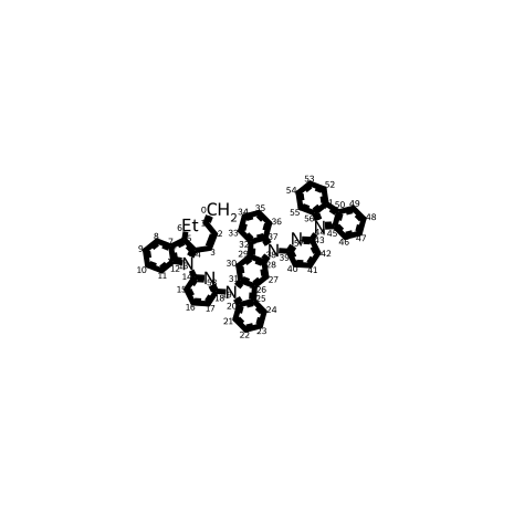 C=C/C=C\c1c(CC)c2ccccc2n1-c1cccc(-n2c3ccccc3c3cc4c(cc32)c2ccccc2n4-c2cccc(-n3c4ccccc4c4ccccc43)n2)n1